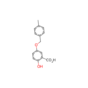 Cc1ccc(COc2ccc(O)c(C(=O)O)c2)cc1